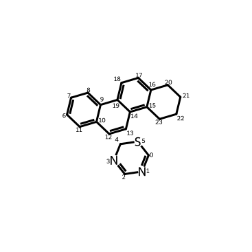 C1=NC=NCS1.c1ccc2c(c1)ccc1c3c(ccc12)CCCC3